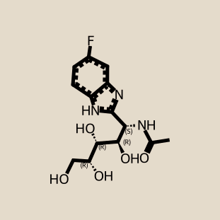 CC(=O)N[C@@H](c1nc2cc(F)ccc2[nH]1)[C@@H](O)[C@@H](O)[C@H](O)CO